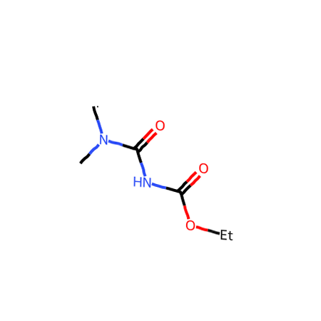 [CH2]N(C)C(=O)NC(=O)OCC